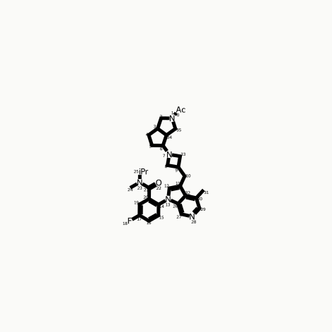 CC(=O)N1CC2CCC(N3CC(Cc4cn(-c5ccc(F)cc5C(=O)N(C)C(C)C)c5cncc(C)c45)C3)C2C1